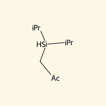 CC(=O)C[SiH](C(C)C)C(C)C